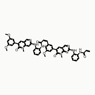 C=CC(=O)Nc1ccccc1Nc1ncc2cc(-c3cc(/C=C\C(=O)Nc4ccccc4Nc4cc5c(cn4)cc(-c4cc(OC)cc(OC)c4)c(=O)n5C)cc(OC)c3)c(=O)n(C)c2n1